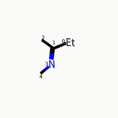 [CH2]CC(C)=NC